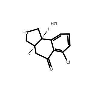 C[C@]12CNC[C@H]1c1cccc(Cl)c1C(=O)C2.Cl